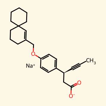 CC#C[C@@H](CC(=O)[O-])c1ccc(OCC2=CC3(CCCCC3)CCC2)cc1.[Na+]